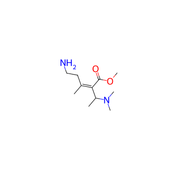 COC(=O)C(=C(C)CCN)C(C)N(C)C